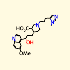 COc1ccc2nccc([C@@H](O)CC[C@@H]3CCN(CCCc4cncn4C)C[C@@H]3C(=O)O)c2c1